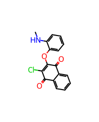 CNc1ccccc1OC1=C(Cl)C(=O)c2ccccc2C1=O